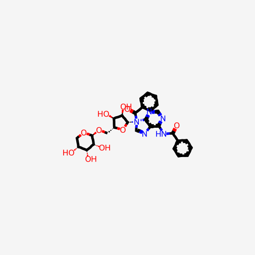 O=C(Nc1ncnc2c1N=C[N+]2(C(=O)c1ccccc1)[C@@H]1O[C@H](CO[C@@H]2OC[C@@H](O)[C@@H](O)[C@H]2O)[C@@H](O)[C@H]1O)c1ccccc1